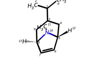 CC(C)C1C[C@@H]2C=C[C@@H](C1)N2C